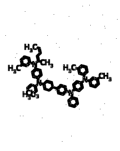 C/C=C\C=C(/C)N(c1ccc(N(C2=CCC(c3ccc(N(c4ccccc4)c4ccc(N(c5cccc(C)c5)c5cccc(C)c5)cc4)cc3)C=C2)C(/C=C\C)=C/C)cc1)c1cccc(C)c1